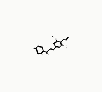 C=CCc1c(OC)cc(C=CC(=O)c2ccc(O)cc2)cc1OC